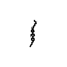 CCCCCCc1ccc(-c2ccc(-c3ccc(OCCCCC[C@@H](C)CC)cc3)cn2)cc1